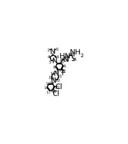 CN(C)[C@@H]1CCN(c2cc(N3CCN(c4cccc(Cl)c4Cl)CC3)c(F)cc2C=NNC(N)=S)C1